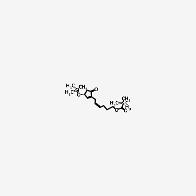 C[Si](C)(C)O[C@H]1C=C(C/C=C\CCCOC(=O)[Si](C)(C)C)C(=O)C1